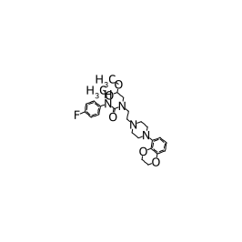 COC(CN(CCN1CCN(c2cccc3c2OCCO3)CC1)C(=O)Nc1ccc(F)cc1)OC